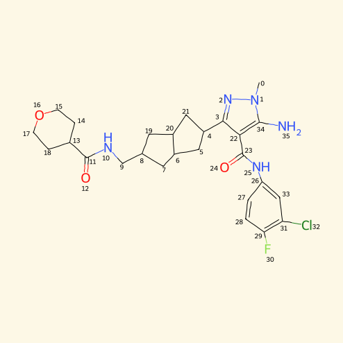 Cn1nc(C2CC3CC(CNC(=O)C4CCOCC4)CC3C2)c(C(=O)Nc2ccc(F)c(Cl)c2)c1N